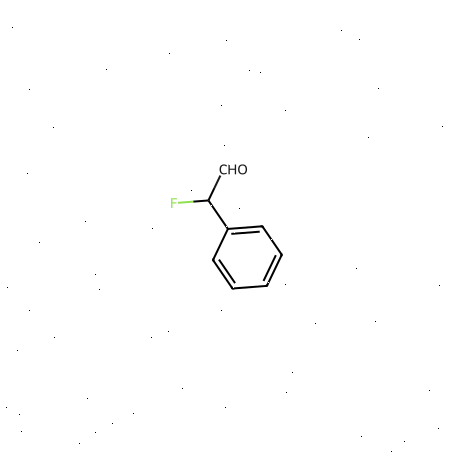 O=CC(F)c1ccccc1